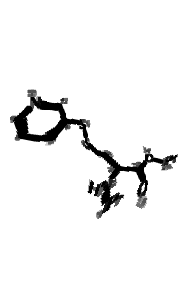 CC(C)NC(CSSc1cccnc1)C(=O)OC(C)C